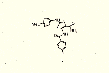 COc1ccc(Nc2nc(C(N)=O)c(NC(=O)c3ccc(F)cc3)s2)cn1